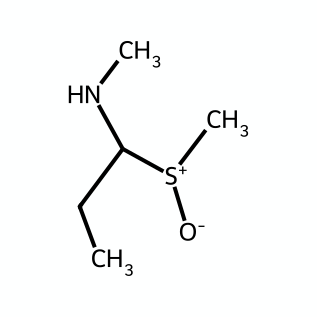 CCC(NC)[S+](C)[O-]